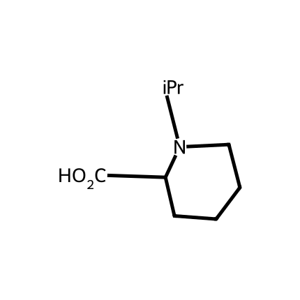 [CH2]C(C)N1CCCCC1C(=O)O